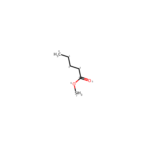 CCCCC(=O)O[SiH3]